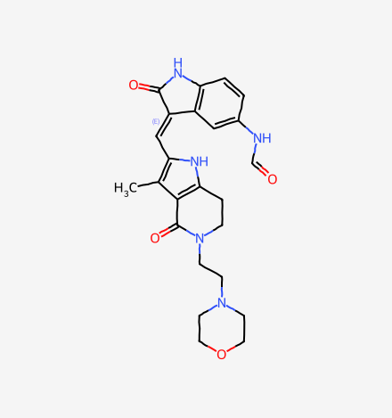 Cc1c(/C=C2/C(=O)Nc3ccc(NC=O)cc32)[nH]c2c1C(=O)N(CCN1CCOCC1)CC2